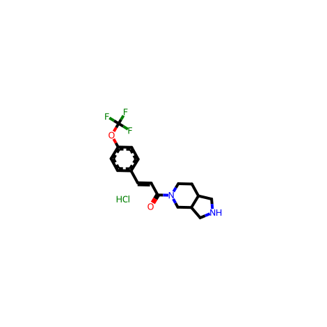 Cl.O=C(C=Cc1ccc(OC(F)(F)F)cc1)N1CCC2CNCC2C1